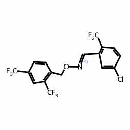 FC(F)(F)c1ccc(CO/N=C/c2cc(Cl)ccc2C(F)(F)F)c(C(F)(F)F)c1